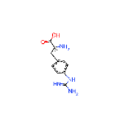 N=C(N)Nc1ccc(C[C@H](N)C(=O)O)cc1